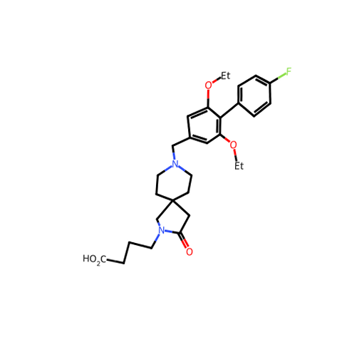 CCOc1cc(CN2CCC3(CC2)CC(=O)N(CCCC(=O)O)C3)cc(OCC)c1-c1ccc(F)cc1